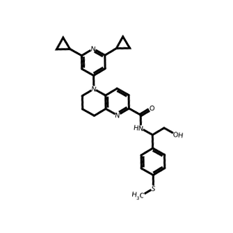 CSc1ccc(C(CO)NC(=O)c2ccc3c(n2)CCCN3c2cc(C3CC3)nc(C3CC3)c2)cc1